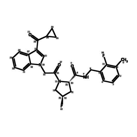 Cc1cccc(CNC(=O)[C@@H]2C[C@@H](F)CN2C(=O)Cn2cc(C(=O)C3CC3)c3ccccc32)c1F